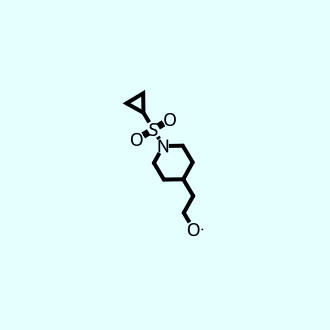 [O]CCC1CCN(S(=O)(=O)C2CC2)CC1